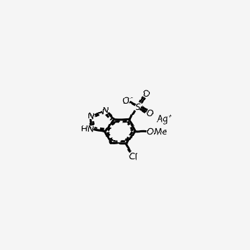 COc1c(Cl)cc2[nH]nnc2c1S(=O)(=O)[O-].[Ag+]